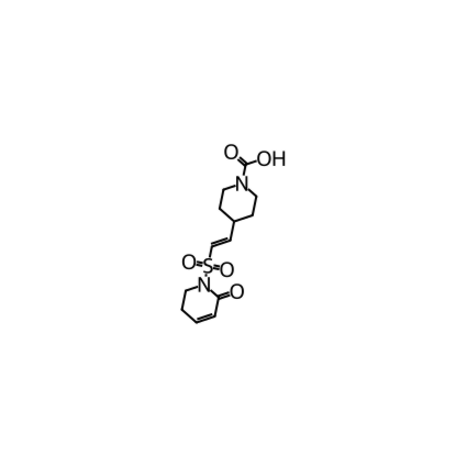 O=C(O)N1CCC(/C=C/S(=O)(=O)N2CCC=CC2=O)CC1